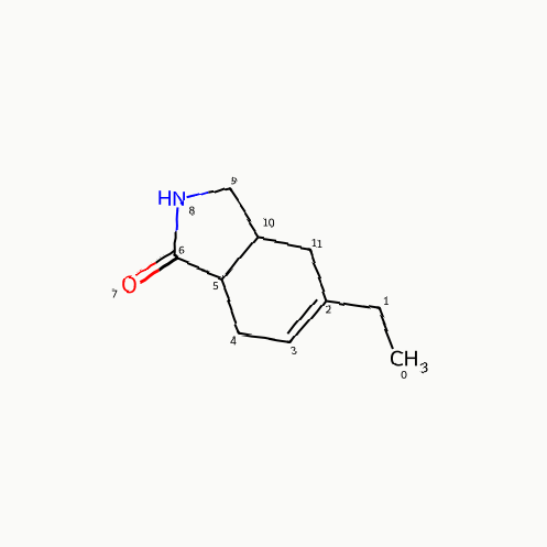 CCC1=CCC2C(=O)NCC2C1